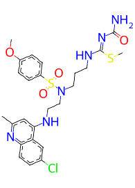 COc1ccc(S(=O)(=O)N(CCCN/C(=N/C(N)=O)SC)CCNc2cc(C)nc3ccc(Cl)cc23)cc1